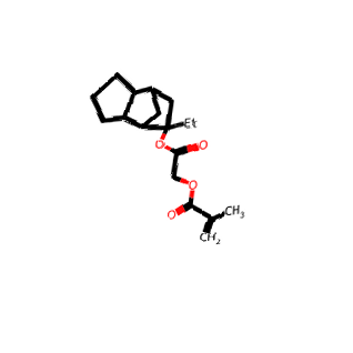 C=C(C)C(=O)OCC(=O)OC1(CC)CC2CC1C1CCCC21